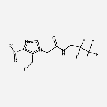 O=C(Cn1cnc([N+](=O)[O-])c1CF)NCC(F)(F)C(F)(F)F